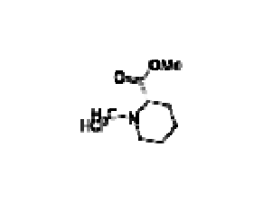 COC(=O)[C@@H]1CCCCN1C.Cl